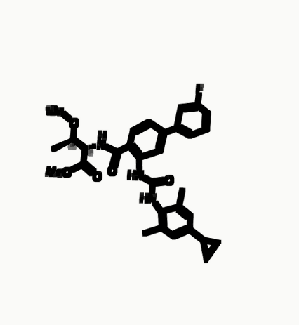 COC(=O)[C@@H](NC(=O)c1ccc(-c2cccc(F)c2)cc1NC(=O)Nc1c(C)cc(C2CC2)cc1C)[C@@H](C)OC(C)(C)C